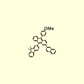 COc1ccc(-c2c3ccccc3c(-c3ccc4c(c3)C(C)(C)c3ccccc3-4)c3cc(-c4ccc5ccccc5c4)ccc23)cc1